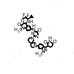 Cn1nc(C2CCC(=O)NC2=O)c2ccc(N3CCCC4(CCCN(c5ncc(Cl)c(Nc6ccc7c(c6)c6c(c(=O)n7C)OCC(F)(F)C(C7CC7)N6)n5)C4)C3)cc21